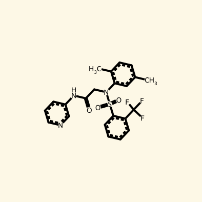 Cc1ccc(C)c(N(CC(=O)Nc2cccnc2)S(=O)(=O)c2ccccc2C(F)(F)F)c1